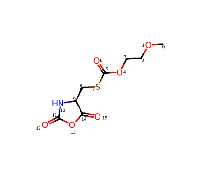 COCCOC(=O)SC[C@@H]1NC(=O)OC1=O